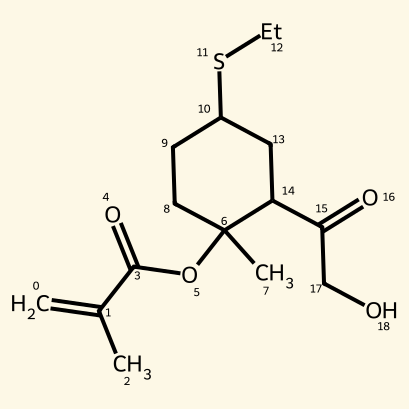 C=C(C)C(=O)OC1(C)CCC(SCC)CC1C(=O)CO